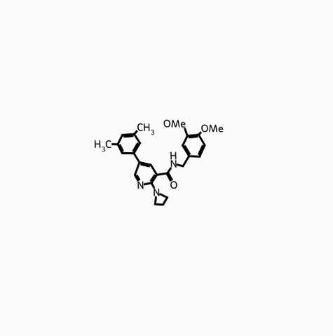 COc1ccc(CNC(=O)c2cc(-c3cc(C)cc(C)c3)cnc2N2CCC2)cc1OC